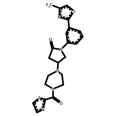 O=C(c1nccs1)N1CCN(C2CC(=O)N(c3cccc(-c4nc(C(F)(F)F)cs4)c3)C2)CC1